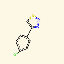 Clc1ccc(-c2csnn2)cc1